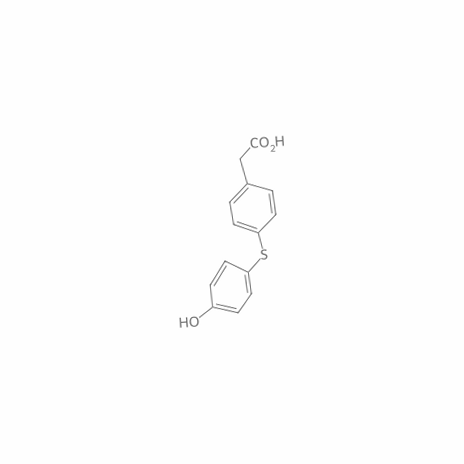 O=C(O)Cc1ccc(Sc2ccc(O)cc2)cc1